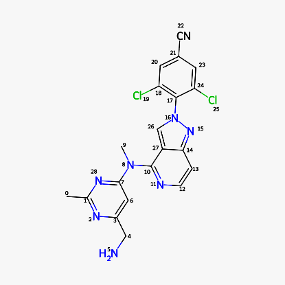 Cc1nc(CN)cc(N(C)c2nccc3nn(-c4c(Cl)cc(C#N)cc4Cl)cc23)n1